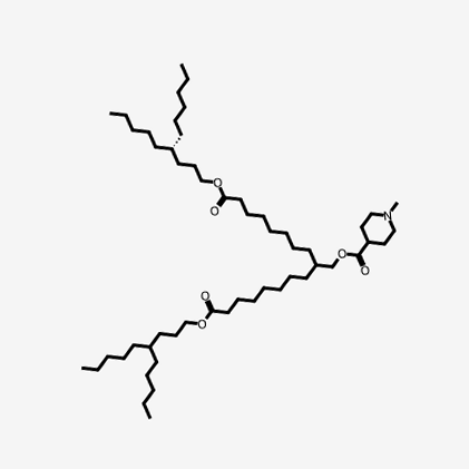 CCCCCC[C@@H](CCCCC)CCCOC(=O)CCCCCCCC(CCCCCCCC(=O)OCCCC(CCCCC)CCCCC)COC(=O)C1CCN(C)CC1